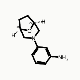 Nc1cccc(N2C[C@H]3CC[C@@H](C2)O3)c1